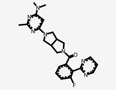 Cc1nc(N(C)C)cc(N2CC3CN(C(=O)c4cccc(F)c4-c4ncccn4)CC3C2)n1